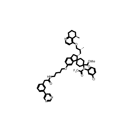 COC(=O)C1(N(C(=O)C(F)(F)F)c2cccc(Cl)c2)CCC2(CC1)c1cc(OCCCCNC(=O)Cc3cccc(-c4cncnc4)c3)ccc1C[C@@H]2C[C@@H](C)COc1ccnc2c1[C@H](C)CCC2